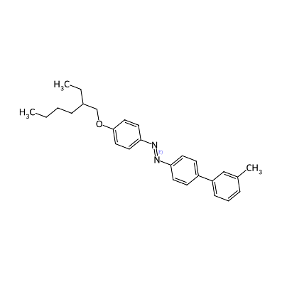 CCCCC(CC)COc1ccc(/N=N/c2ccc(-c3cccc(C)c3)cc2)cc1